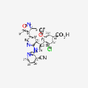 Cc1noc(C)c1-c1cnc2c(c1)c(-c1c(Cl)cc(C(=O)O)cc1OC(F)(F)F)cn2-c1ncccc1C#N